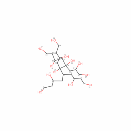 OCCC(O)CC(CC(O)CCO)C(O)(CC(O)CCO)C(O)(CC(O)CO)CC(O)CCO